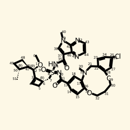 CO[C@@H](C1=CC[C@H]1CS(=O)(=NC(=O)c1ccc2c(c1)N(C)Cc1ccc(Cl)cc1CCCCO2)NC(=O)c1cn(C)c2nccnc12)[C@@H]1CC[C@H]1C